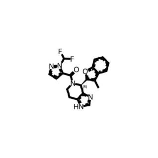 Cc1c([C@H]2c3nc[nH]c3CCN2C(=O)c2ccnn2C(F)F)oc2ccccc12